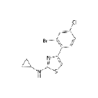 Clc1ccc(-c2csc(NC3CC3)n2)c(Br)c1